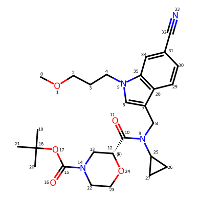 COCCCn1cc(CN(C(=O)[C@H]2CN(C(=O)OC(C)(C)C)CCO2)C2CC2)c2ccc(C#N)cc21